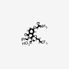 CC(C)Cn1c(N(C)C(=O)O)c(OCCCC(F)(F)F)c2cc(OCC(N)=O)ccc2c1=O